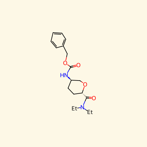 CCN(CC)C(=O)[C@@H]1CC[C@@H](NC(=O)OCc2ccccc2)CO1